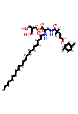 CCC=CCC=CCC=CCC=CCC=CCC=CCCC(=O)NC(CNC(=O)C(C)(C)CCCOc1cc(C)ccc1C)C(=O)OCC(CO)CO